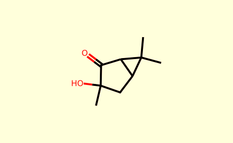 CC1(O)CC2C(C1=O)C2(C)C